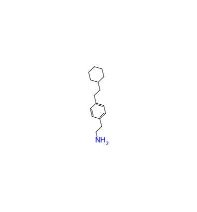 NCCc1ccc(CCC2CCCCC2)cc1